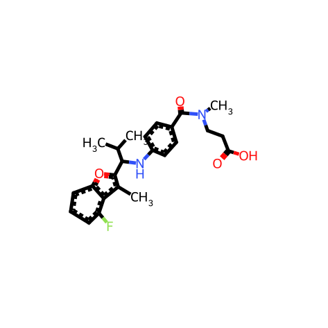 Cc1c(C(Nc2ccc(C(=O)N(C)CCC(=O)O)cc2)C(C)C)oc2cccc(F)c12